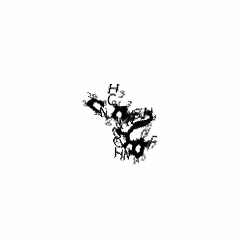 CC1CC(C)N(C(=O)/C(=C2\C(=O)Nc3ccc(F)cc32)c2ccc[nH]2)[C@@H]1CN1CCCC1